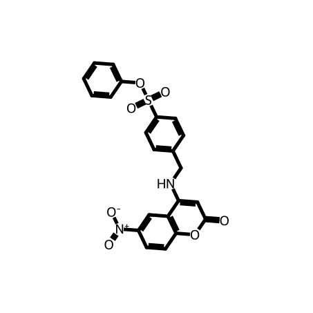 O=c1cc(NCc2ccc(S(=O)(=O)Oc3ccccc3)cc2)c2cc([N+](=O)[O-])ccc2o1